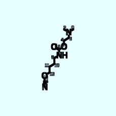 CN(C)CCOC(=O)NCCCCOC#N